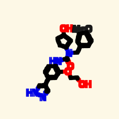 COc1cccc(CN(C(=O)Nc2ccc(-c3cn[nH]c3)cc2OCCO)C2CCC(O)C2)c1